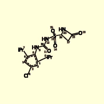 CC(C)c1cc(Cl)cc(C(C)C)c1NC(=O)NS(=O)(=O)C1CC(=O)N1